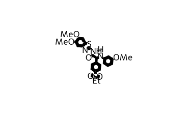 CCS(=O)(=O)c1ccc(C(Nc2cccc(OC)c2)C(=O)Nc2nc3cc(OC)c(OC)cc3s2)cc1